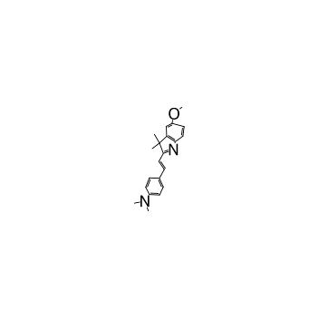 COc1ccc2c(c1)C(C)(C)C(C=Cc1ccc(N(C)C)cc1)=N2